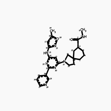 CNC(=O)C1CCCC2(CCN(c3cc(Nc4cc(C)on4)nc(-c4cccnc4)n3)C2)C1